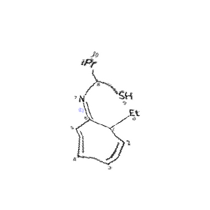 CCC1C=CC=C/C1=N/C(S)C(C)C